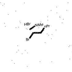 Br.CCCCCBr.CNC